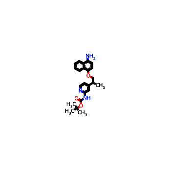 CC(COc1ccc(N)c2ccccc12)c1ccnc(NC(=O)OC(C)(C)C)c1